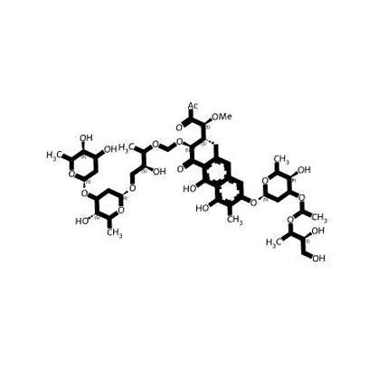 CO[C@H](C(=O)C(C)=O)[C@@H]1Cc2cc3cc(O[C@H]4CC(OC(C)OC(C)[C@@H](O)CO)[C@H](O)C(C)O4)c(C)c(O)c3c(O)c2C(=O)[C@H]1OCOC(C)[C@@H](O)CO[C@H]1CC(O[C@H]2CC(O)[C@H](O)C(C)O2)[C@@H](O)C(C)O1